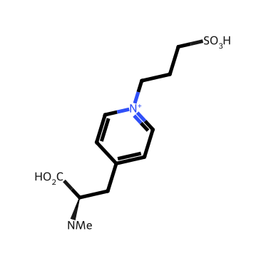 CN[C@H](Cc1cc[n+](CCCS(=O)(=O)O)cc1)C(=O)O